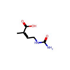 CC(=CCNC(N)=O)C(=O)O